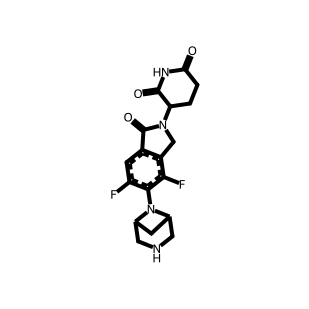 O=C1CCC(N2Cc3c(cc(F)c(N4C5CNCC4C5)c3F)C2=O)C(=O)N1